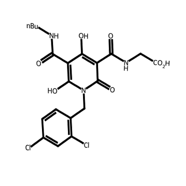 CCCCNC(=O)c1c(O)c(C(=O)NCC(=O)O)c(=O)n(Cc2ccc(Cl)cc2Cl)c1O